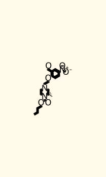 CCCCOC(=O)N1CCN(CCOc2ccc([N+](=O)[O-])cc2C=O)C[C@@H]1C